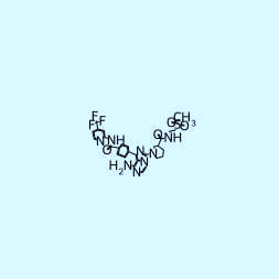 CS(=O)(=O)CCNC(=O)C1CCCN(c2nc(-c3ccc(C(=O)Nc4cc(C(F)(F)F)ccn4)cc3)c3c(N)nccn23)C1